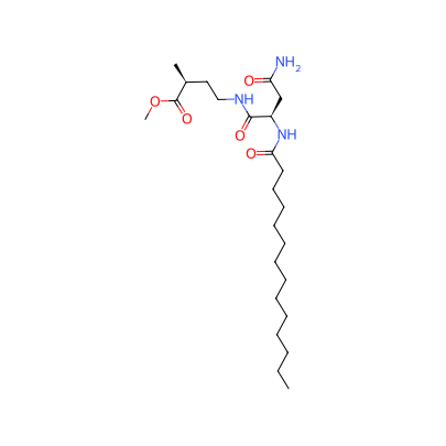 CCCCCCCCCCCCCC(=O)N[C@H](CC(N)=O)C(=O)NCC[C@H](C)C(=O)OC